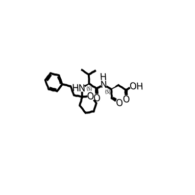 CC(C)[C@H](NC1(CCc2ccccc2)CCCCO1)C(=O)N[C@H](C=O)CC(=O)O